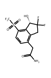 NC(=O)Cc1ccc(S(=O)(=O)C(F)(F)F)c2c1CC(F)(F)[C@H]2O